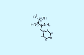 CC(C)[C@H](O)[C@H](O)[C@@H](N)CC1CCCCC1